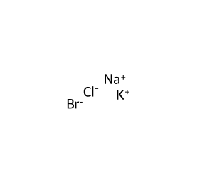 [Br-].[Cl-].[K+].[Na+]